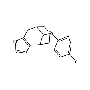 Clc1ccc(SN2C3COCC2c2cn[nH]c2C3)cc1